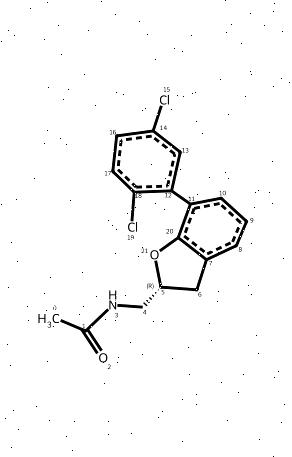 CC(=O)NC[C@H]1Cc2cccc(-c3cc(Cl)ccc3Cl)c2O1